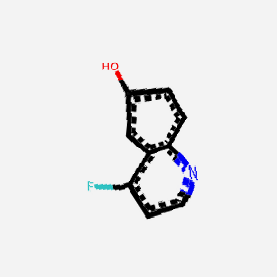 Oc1ccc2nccc(F)c2c1